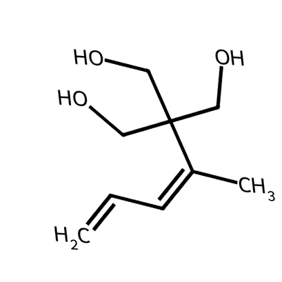 C=CC=C(C)C(CO)(CO)CO